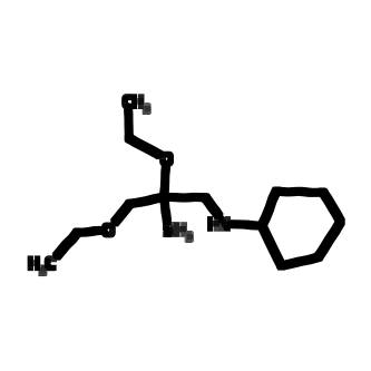 CCOCC([SiH3])(CNC1CCCCC1)OCC